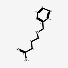 CCC(=O)CCCOCc1cc[c]cc1